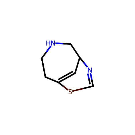 C1=NC2C=C(CCNC2)S1